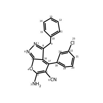 N#Cc1c(N)oc2nnc(Cc3ccccc3)c-2c1-c1cccc(Cl)c1